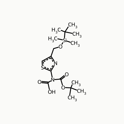 CC(C)(C)OC(=O)N(C(=O)O)c1nc(CO[Si](C)(C)C(C)(C)C)cs1